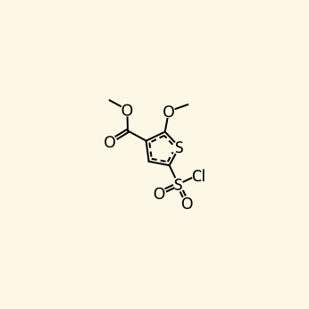 COC(=O)c1cc(S(=O)(=O)Cl)sc1OC